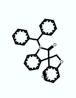 O=C1N(C(c2ccccc2)c2ccccc2)c2ccccc2C12COc1ccc3nonc3c12